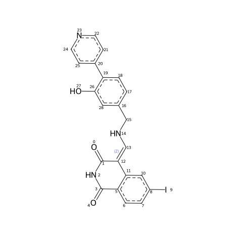 O=C1NC(=O)c2ccc(I)cc2/C1=C/NCc1ccc(-c2ccncc2)c(O)c1